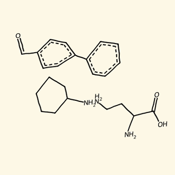 NC1CCCCC1.NCCC(N)C(=O)O.O=Cc1ccc(-c2ccccc2)cc1